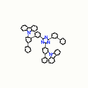 c1ccc(-c2cccc(-c3nc(-c4cccc(-c5cc(-c6ccccc6)ccc5-n5c6ccccc6c6ccccc65)c4)nc(-c4ccc(-c5ccccc5)c(-n5c6ccccc6c6ccccc65)c4)n3)c2)cc1